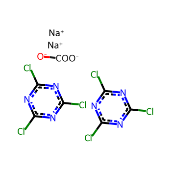 Clc1nc(Cl)nc(Cl)n1.Clc1nc(Cl)nc(Cl)n1.O=C([O-])[O-].[Na+].[Na+]